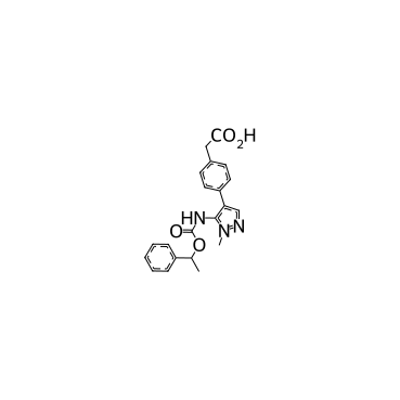 CC(OC(=O)Nc1c(-c2ccc(CC(=O)O)cc2)cnn1C)c1ccccc1